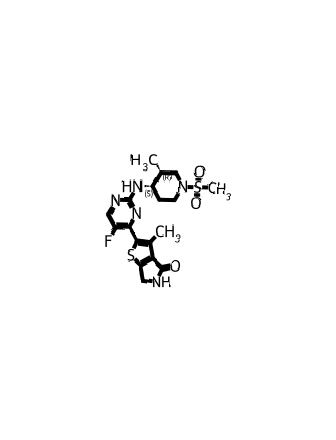 Cc1c(-c2nc(N[C@H]3CCN(S(C)(=O)=O)C[C@H]3C)ncc2F)sc2c1C(=O)NC2